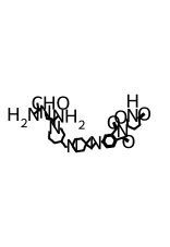 N/C(C=O)=N\C=C(/N)N1CCCC(CN2CCC3(CC2)CN(c2ccc4c(c2)C(=O)N(C2CCC(=O)NC2=O)C4=O)C3)CC1